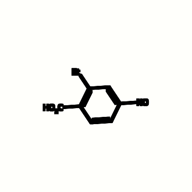 CCc1cc(N=O)ccc1C(=O)O